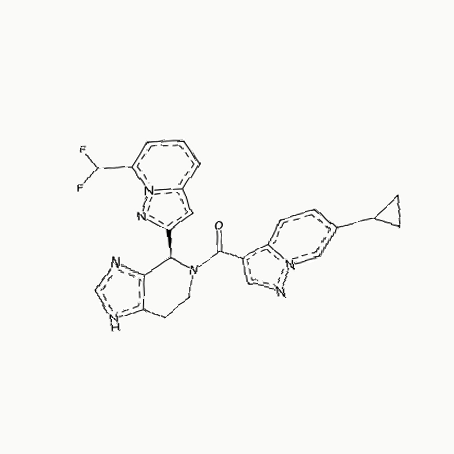 O=C(c1cnn2cc(C3CC3)ccc12)N1CCc2[nH]cnc2[C@H]1c1cc2cccc(C(F)F)n2n1